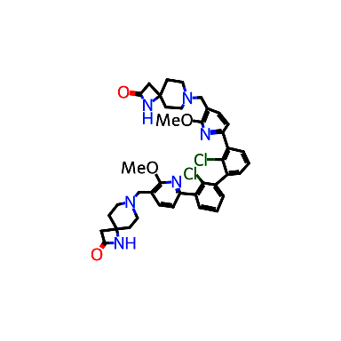 COc1nc(-c2cccc(-c3cccc(-c4ccc(CN5CCC6(CC5)CC(=O)N6)c(OC)n4)c3Cl)c2Cl)ccc1CN1CCC2(CC1)CC(=O)N2